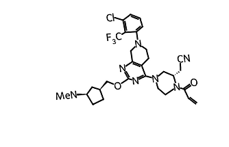 C=CC(=O)N1CCN(c2nc(OC[C@H]3CC[C@@H](NC)C3)nc3c2CCN(c2cccc(Cl)c2C(F)(F)F)C3)C[C@@H]1CC#N